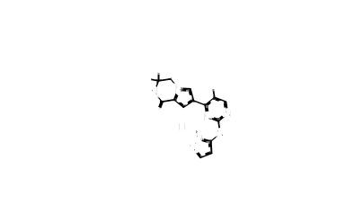 Cc1cnc(Nc2ccnn2C)nc1-c1cc2n(c1)CC(C)(C)NC2=O